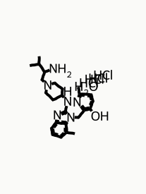 Cc1ccc(O)c(Cn2c(NC3CCN(CC(N)C(C)C)CC3)nc3cccc(C)c32)n1.Cl.Cl.Cl.Cl.O